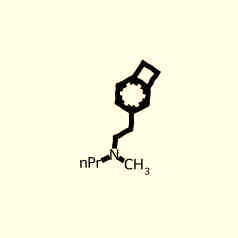 CCCN(C)CCc1ccc2c(c1)CC2